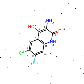 Nc1c(O)c2cc(Cl)c(F)cc2[nH]c1=O